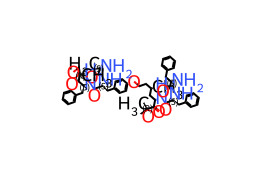 CC(CCOc1ccc(C[C@H](NC(=O)[C@H](C)N)C(=O)N[C@@H](Cc2ccccc2)C(=O)[C@@]2(C)CO2)cc1)CC(NC(=O)[C@H](Cc1ccccc1)NC(=O)[C@@H](N)Cc1ccccc1)C(=O)[C@@]1(C)CO1